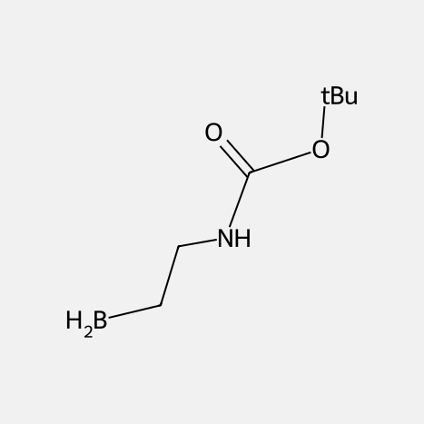 BCCNC(=O)OC(C)(C)C